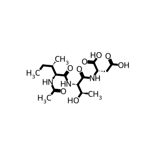 CC[C@H](C)[C@H](NC(C)=O)C(=O)N[C@H](C(=O)N[C@@H](CC(=O)O)C(=O)O)[C@@H](C)O